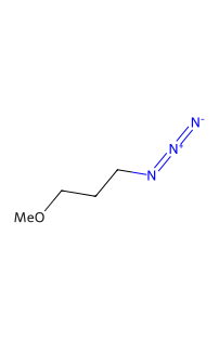 COCCCN=[N+]=[N-]